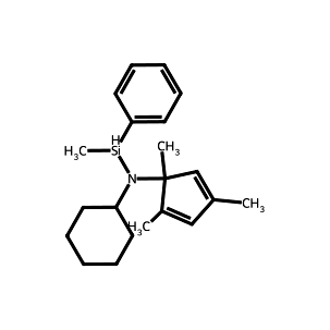 CC1=CC(C)(N(C2CCCCC2)[SiH](C)c2ccccc2)C(C)=C1